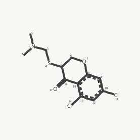 CN(C)CSC1COc2cc(Cl)cc(Cl)c2C1=O